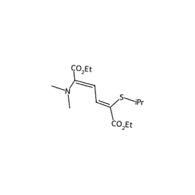 CCOC(=O)/C(=C/C=C(/C(=O)OCC)N(C)C)SC(C)C